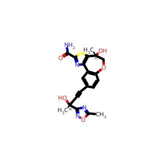 Cc1nc([C@](C)(O)C#Cc2ccc3c(c2)-c2nc(C(N)=O)sc2[C@](C)(O)CO3)no1